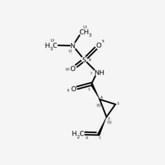 C=C[C@@H]1C[C@@H]1C(=O)NS(=O)(=O)N(C)C